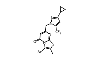 CC(=O)c1c(C)sc2nc(Cn3nc(C4CC4)cc3C(F)(F)F)cc(=O)n12